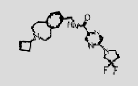 O=C(NCc1ccc2c(c1)CCN(C1CCC1)CC2)c1cnc(N2CCC(F)(F)C2)cn1